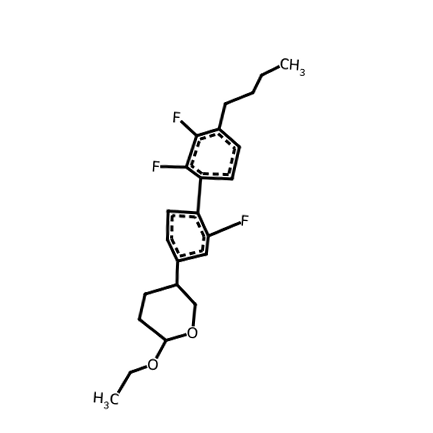 CCCCc1ccc(-c2ccc(C3CCC(OCC)OC3)cc2F)c(F)c1F